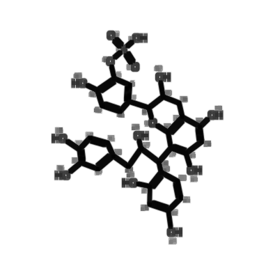 O=S(=O)(O)Oc1cc(C2Oc3c(c(O)cc(O)c3C(c3ccc(O)cc3O)C(O)Cc3ccc(O)c(O)c3)CC2O)ccc1O